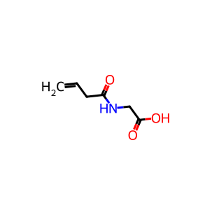 C=CCC(=O)NCC(=O)O